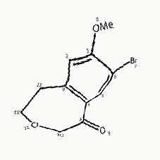 COc1cc2c(cc1Br)C(=O)COCC2